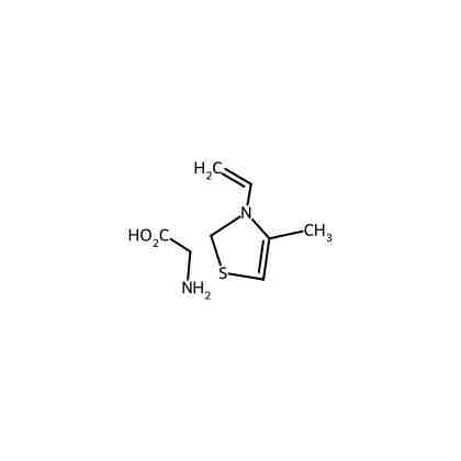 C=CN1CSC=C1C.NCC(=O)O